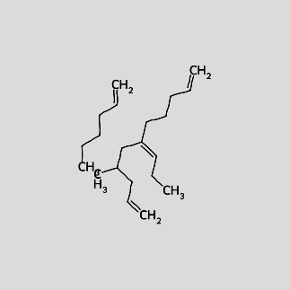 C=CCCCC.C=CCCCC(=CCC)CC(C)CC=C